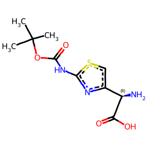 CC(C)(C)OC(=O)Nc1nc([C@@H](N)C(=O)O)cs1